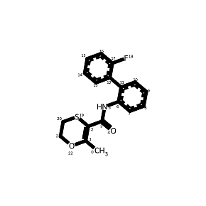 CC1=C(C(=O)Nc2ccccc2-c2ccccc2F)SCCO1